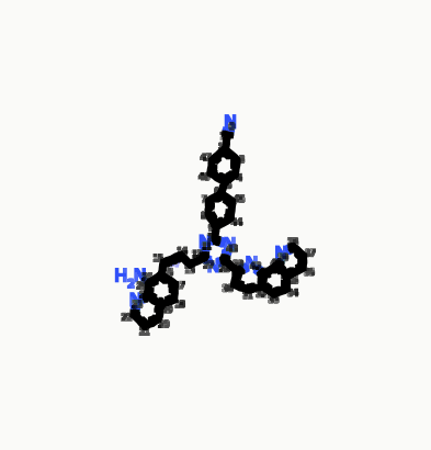 N#Cc1ccc(-c2ccc(-c3nc(C/C=C\c4ccc5cccnc5c4N)nc(-c4ccc5ccc6cccnc6c5n4)n3)cc2)cc1